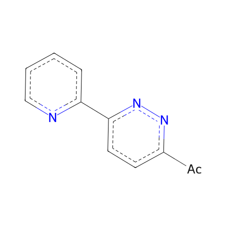 CC(=O)c1ccc(-c2ccccn2)nn1